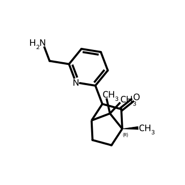 CC1(C)C2CC[C@@]1(C)C(=O)C2c1cccc(CN)n1